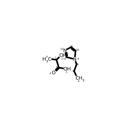 CC(O)C(=O)O.CCCn1ccnc1